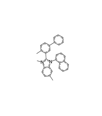 Cc1ccc2c(c1)n(-c1cccc3ccccc13)c(-c1cc(-c3ccccc3)ccc1C)[n+]2C